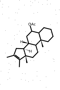 CC(=O)OC1C[C@@H]2C(CC[C@]3(C)C(C)=C(C)C[C@@H]23)[C@@]2(C)CCCCC12